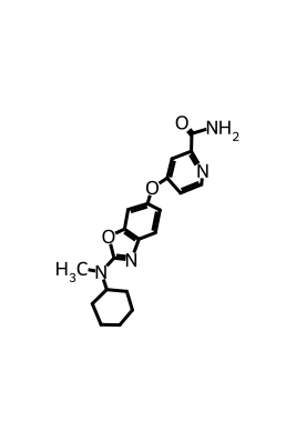 CN(c1nc2ccc(Oc3ccnc(C(N)=O)c3)cc2o1)C1CCCCC1